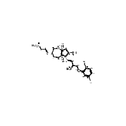 O=C(O)CCC[C@H]1CC[C@@H]2[C@@H](/C=C/C(O)COc3cc(F)ccc3F)[C@H](O)C[C@@H]2OC1